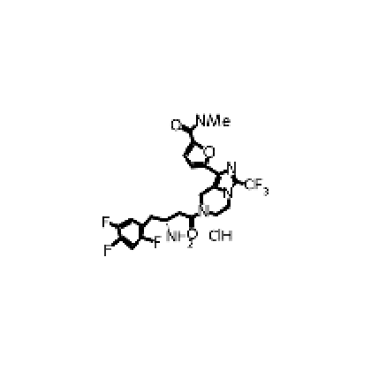 CNC(=O)c1ccc(-c2nc(C(F)(F)F)n3c2CN(C(=O)C[C@H](N)Cc2cc(F)c(F)cc2F)CC3)o1.Cl